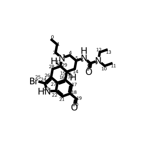 CCCN1CC(NC(=O)N(CC)CC)C[C@@H]2c3cc(C=O)cc4[nH]c(Br)c(c34)C[C@H]21